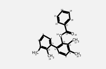 Cc1cccc(-c2ccc(C)c(C)c2OC(=O)c2ccccc2)c1C